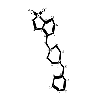 O=S1(=O)C=Cc2c(CN3CCN(Cc4ccccc4)CC3)cccc21